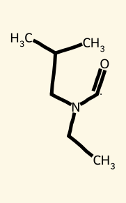 CCN([C]=O)CC(C)C